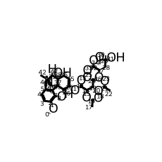 COc1ccc2c3c1O[C@H]1C(OC(=O)[C@H](OC(C)=O)[C@@H](OC(C)=O)C(=O)O[C@H](CC(=O)O)C(=O)O)=CC[C@@]4(O)[C@@H](C2)N(C)CC[C@]314